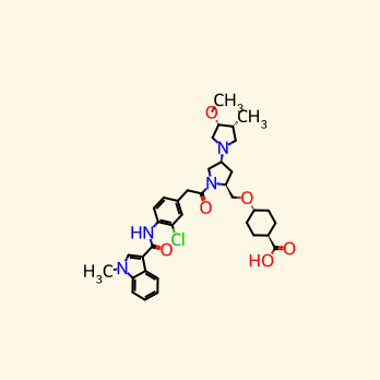 CO[C@H]1CN([C@H]2C[C@@H](CO[C@H]3CC[C@H](C(=O)O)CC3)N(C(=O)Cc3ccc(NC(=O)c4cn(C)c5ccccc45)c(Cl)c3)C2)C[C@H]1C